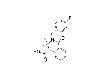 CC1(C)C(C(=O)O)c2ccccc2C(=O)N1Cc1ccc(F)cc1